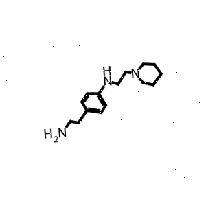 NCCc1ccc(NCCN2CCCCC2)cc1